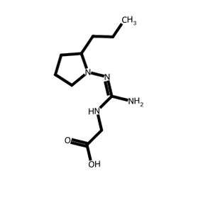 CCCC1CCCN1N=C(N)NCC(=O)O